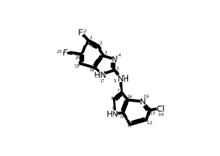 Fc1cc2nc(Nc3c[nH]c4ccc(Cl)nc34)[nH]c2cc1F